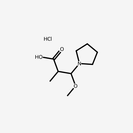 COC(C(C)C(=O)O)N1CCCC1.Cl